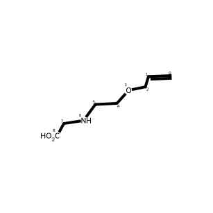 C=CCOCCNCC(=O)O